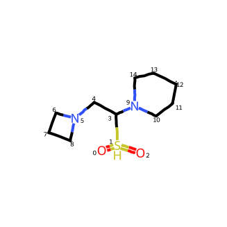 O=[SH](=O)C(CN1CCC1)N1CC[CH]CC1